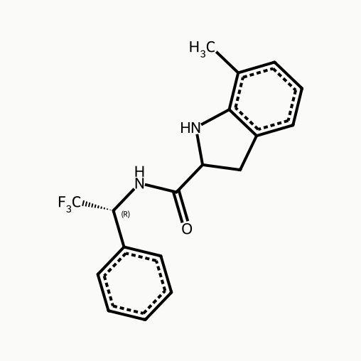 Cc1cccc2c1NC(C(=O)N[C@H](c1ccccc1)C(F)(F)F)C2